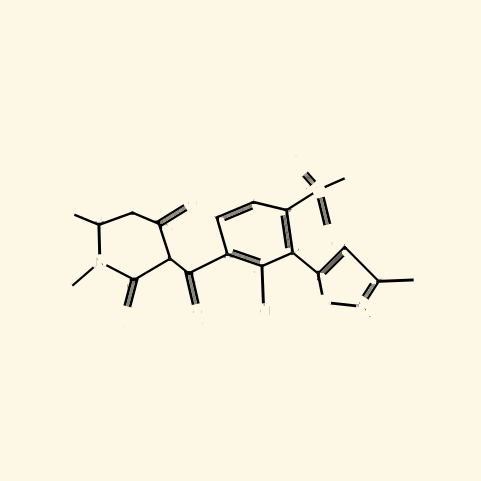 Cc1cc(-c2c(S(C)(=O)=O)ccc(C(=O)C3C(=O)CC(C)N(C)C3=O)c2Cl)on1